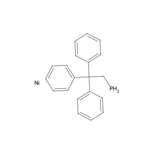 PCC(c1ccccc1)(c1ccccc1)c1ccccc1.[Ni]